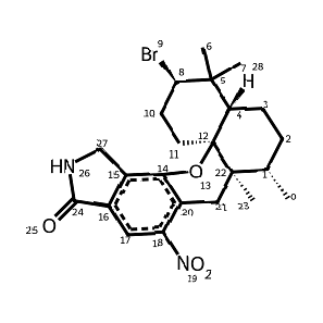 C[C@H]1CC[C@H]2C(C)(C)[C@H](Br)CC[C@]23Oc2c4c(cc([N+](=O)[O-])c2C[C@]13C)C(=O)NC4